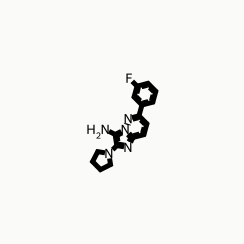 Nc1c(N2CCCC2)nc2ccc(-c3cccc(F)c3)nn12